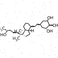 C=C1[C@H](O)CC(=C/C=C2\CCC[C@]3(C)[C@@H]([C@H](C)/C=C/C[C@H](C)O)CC[C@@H]23)C[C@H]1O